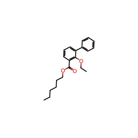 CCCCCCOC(=O)c1cccc(-c2ccccc2)c1OCC